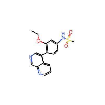 CCOc1cc(NS(C)(=O)=O)ccc1-c1cncc2ncccc12